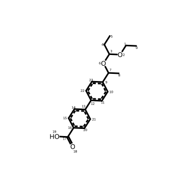 CCOC(CC)OC(C)c1ccc(-c2ccc(C(=O)O)cc2)cc1